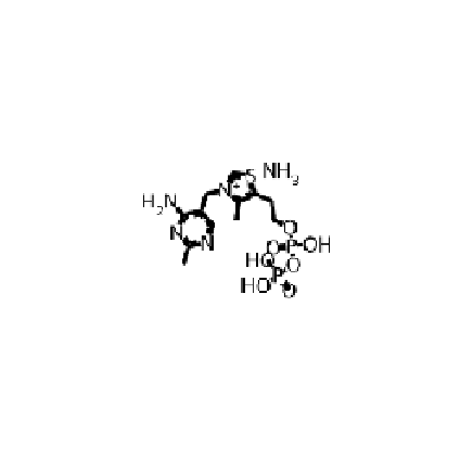 Cc1ncc(C[n+]2csc(CCOP(=O)(O)OP(=O)(O)O)c2C)c(N)n1.N